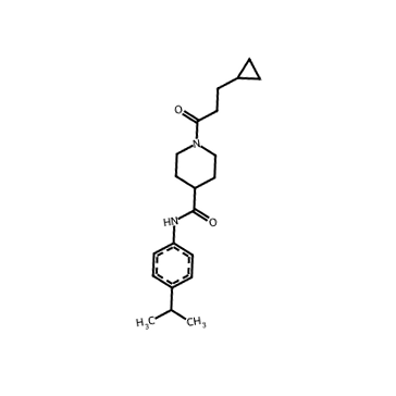 CC(C)c1ccc(NC(=O)C2CCN(C(=O)CCC3CC3)CC2)cc1